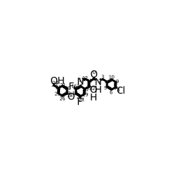 O=C(NCc1ccc(Cl)cc1)c1cnc2c(F)c(Oc3ccc(CO)cc3)c(F)cc2c1O